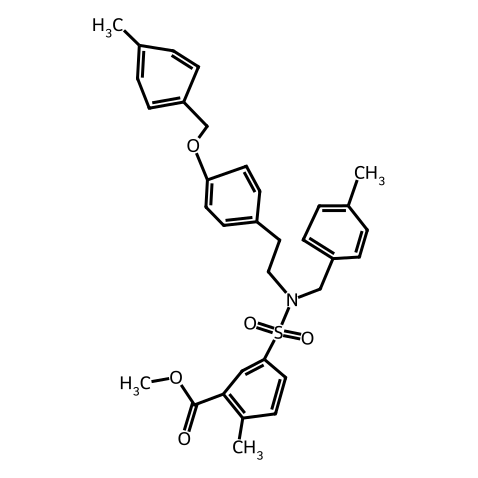 COC(=O)c1cc(S(=O)(=O)N(CCc2ccc(OCc3ccc(C)cc3)cc2)Cc2ccc(C)cc2)ccc1C